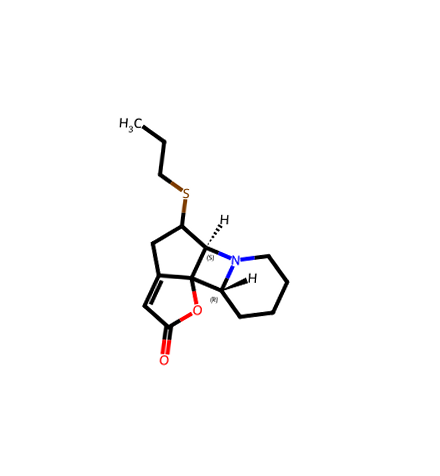 CCCSC1CC2=CC(=O)OC23[C@H]2CCCCN2[C@H]13